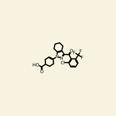 O=C(c1nn(C2=CCC(C(=O)O)CC2)c2c1CCCC2)c1c(Cl)cccc1C(F)(F)F